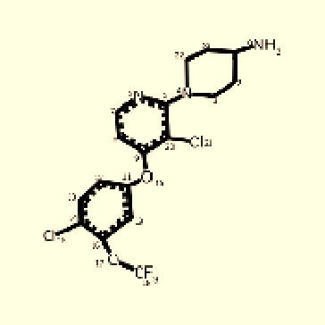 NC1CCN(c2nccc(Oc3ccc(Cl)c(OC(F)(F)F)c3)c2Cl)CC1